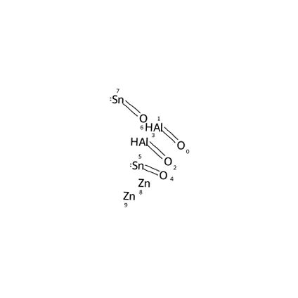 [O]=[AlH].[O]=[AlH].[O]=[Sn].[O]=[Sn].[Zn].[Zn]